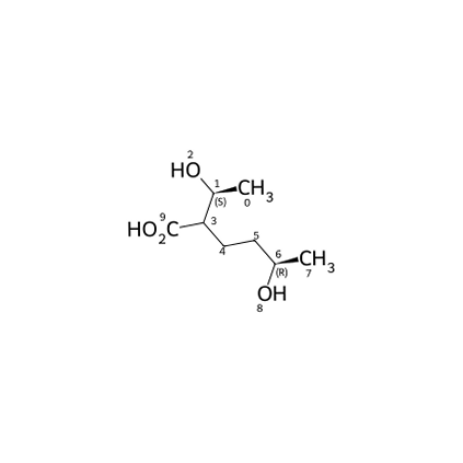 C[C@H](O)C(CC[C@@H](C)O)C(=O)O